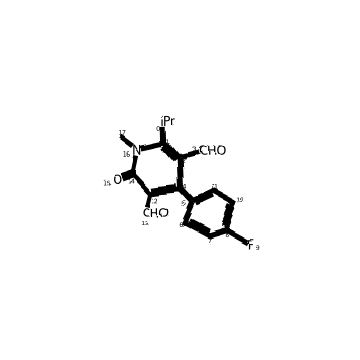 CC(C)c1c(C=O)c(-c2ccc(F)cc2)c(C=O)c(=O)n1C